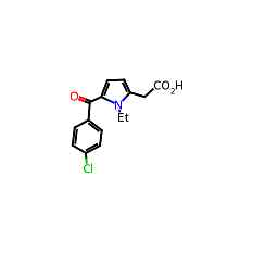 CCn1c(CC(=O)O)ccc1C(=O)c1ccc(Cl)cc1